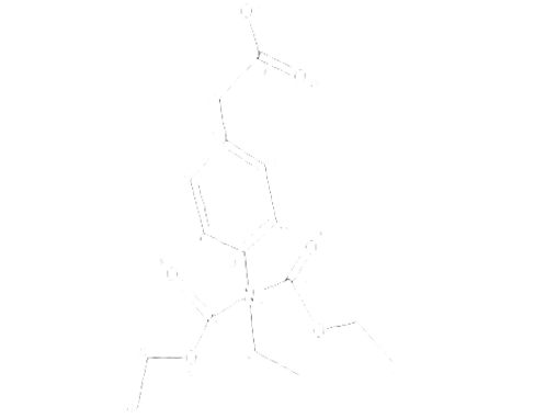 CCOC(=O)[N+](CC)(C(=O)OCC)c1ccc(CC(=O)[O-])cc1